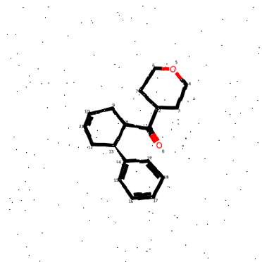 O=C(C1CCOCC1)C1CC=CC[C@@H]1c1ccccc1